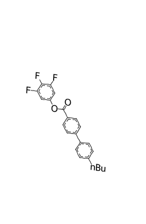 CCCCc1ccc(-c2ccc(C(=O)Oc3cc(F)c(F)c(F)c3)cc2)cc1